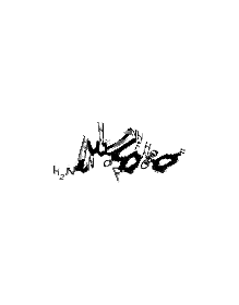 C=c1[nH]cc(C(=O)c2c(F)ccc(NS(=O)(=O)c3cccc(F)c3)c2F)/c1=C/C(=C\N)c1cnc(N)cn1